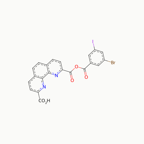 O=C(OC(=O)c1ccc2ccc3ccc(C(=O)O)nc3c2n1)c1cc(Br)cc(I)c1